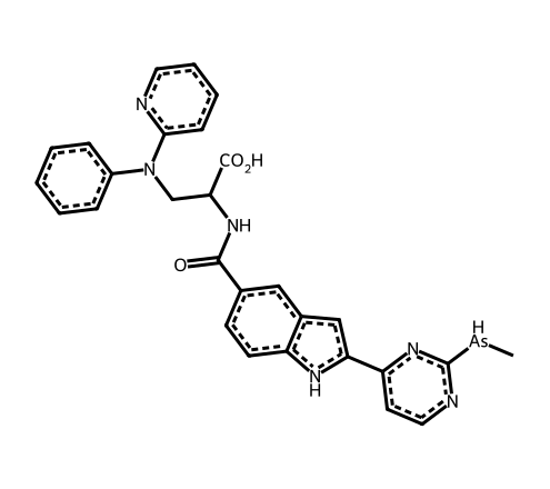 C[AsH]c1nccc(-c2cc3cc(C(=O)NC(CN(c4ccccc4)c4ccccn4)C(=O)O)ccc3[nH]2)n1